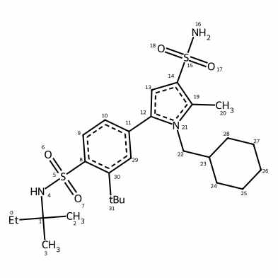 CCC(C)(C)NS(=O)(=O)c1ccc(-c2cc(S(N)(=O)=O)c(C)n2CC2CCCCC2)cc1C(C)(C)C